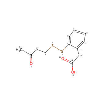 CC(=O)CCSSc1ccccc1CC(=O)O